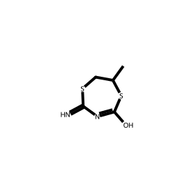 CC1CSC(=N)N=C(O)S1